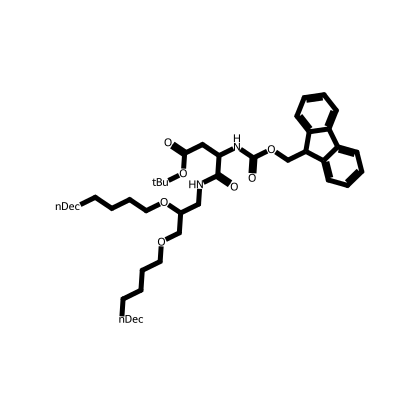 CCCCCCCCCCCCCCOCC(CNC(=O)C(CC(=O)OC(C)(C)C)NC(=O)OCC1c2ccccc2-c2ccccc21)OCCCCCCCCCCCCCC